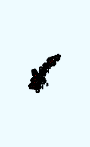 CC1(C)CCC(c2ccc(Cl)cc2)=C(CN2CCN(c3ccc(C(=O)NS(=O)(=O)c4ccc(N[C@H](CCN5C6CCC5CN(Cc5cccc(N7CCC(=O)NC7=O)c5)C6)CSc5ccccc5)c(S(=O)(=O)C(F)(F)F)c4)cc3)CC2)C1